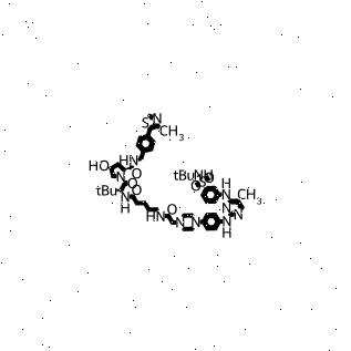 Cc1cnc(Nc2ccc(N3CCN(CC(=O)NCCCCC(=O)N[C@H](C(=O)N4C[C@H](O)C[C@H]4C(=O)NCc4ccc(-c5scnc5C)cc4)C(C)(C)C)CC3)cc2)nc1Nc1cccc(S(=O)(=O)NC(C)(C)C)c1